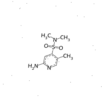 Cc1cnc(N)cc1S(=O)(=O)N(C)C